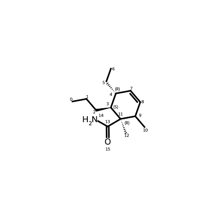 CCC[C@H]1[C@H](CC)C=CC(C)[C@@]1(C)C(N)=O